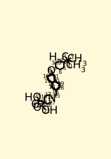 CC(C)(C)C1CCC(Oc2ccc3cc(CN4CCC(C(=O)O)(C(=O)O)CC4)ccc3c2)CC1